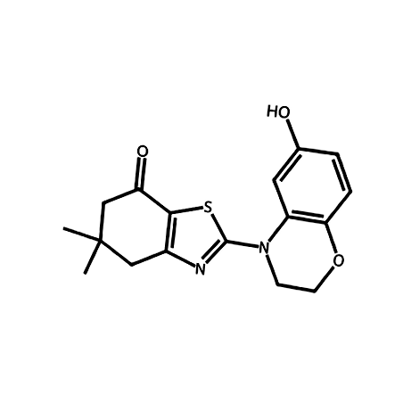 CC1(C)CC(=O)c2sc(N3CCOc4ccc(O)cc43)nc2C1